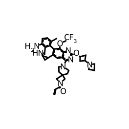 C=CC(=O)N1CC2(CCN(c3nc(OC4CC(N5CCC5)C4)nc4c(OCC(F)(F)F)c(-c5c(C)ccc(N)c5C=N)c(C5CC5)cc34)CC2)C1